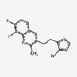 Cc1nc2c(F)c(F)ccc2cc1CCc1sccc1Br